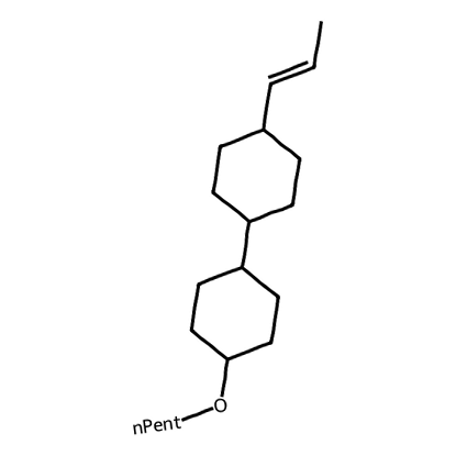 CC=CC1CCC(C2CCC(OCCCCC)CC2)CC1